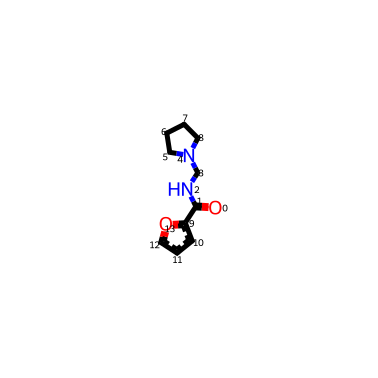 O=C(NCN1CCCC1)c1ccco1